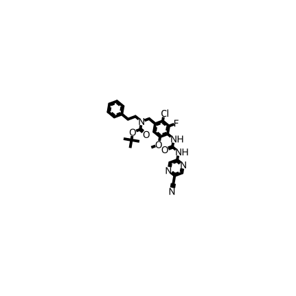 COc1cc(CN(CCc2ccccc2)C(=O)OC(C)(C)C)c(Cl)c(F)c1NC(=O)Nc1cnc(C#N)cn1